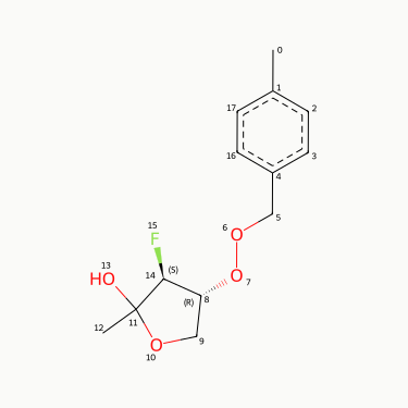 Cc1ccc(COO[C@@H]2COC(C)(O)[C@H]2F)cc1